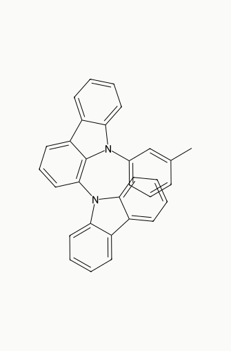 Cc1cccc(-n2c3ccccc3c3cccc(-n4c5ccccc5c5ccccc54)c32)c1